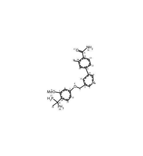 COc1cc(OCc2cncc(-c3ccc(C(N)=O)c(C)c3)c2)ccc1C(C)(P)P